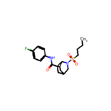 CCCCS(=O)(=O)N1CC2CCC1C(C(=O)Nc1ccc(F)cc1)C2